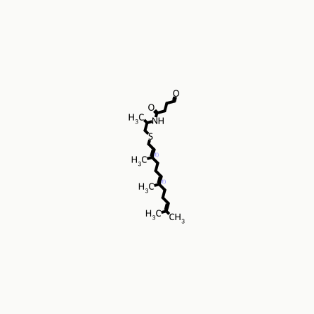 CC(C)=CCC/C(C)=C/CC/C(C)=C/CSCC(C)NC(=O)CCC=O